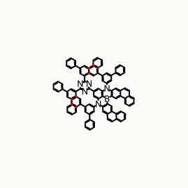 c1ccc(-c2cc(-c3ccccc3)cc(-c3nc(-c4cc(-c5ccccc5)cc(-c5ccccc5)c4)nc(-c4cc5c6c(c4)N(c4cc(-c7ccccc7)cc(-c7ccccc7)c4)c4cc7ccc8ccccc8c7cc4B6c4cc6c(ccc7ccccc76)cc4N5c4cc(-c5ccccc5)cc(-c5ccccc5)c4)n3)c2)cc1